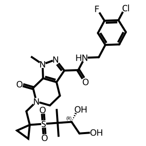 Cn1nc(C(=O)NCc2ccc(Cl)c(F)c2)c2c1C(=O)N(CC1(S(=O)(=O)C(C)(C)[C@H](O)CO)CC1)CC2